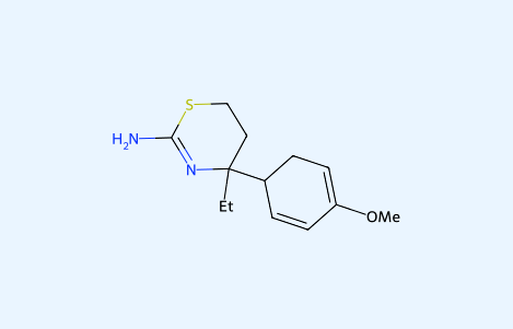 CCC1(C2C=CC(OC)=CC2)CCSC(N)=N1